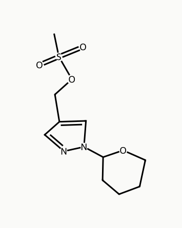 CS(=O)(=O)OCc1cnn(C2CCCCO2)c1